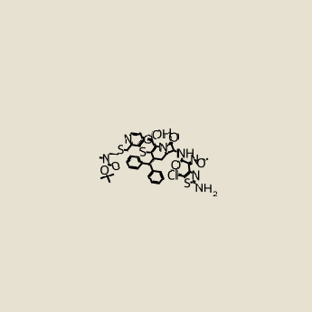 CON=C(C(=O)NC1C(=O)N2C(C(=O)O)=C(Sc3cccnc3CSCCN(C)C(=O)OC(C)(C)C)C(C(c3ccccc3)c3ccccc3)CC12)c1nc(N)sc1Cl